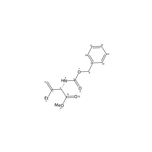 C=C(CC)[C@H](NC(=O)OCc1ccccc1)C(=O)OC